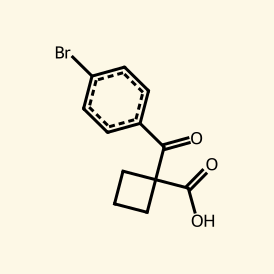 O=C(O)C1(C(=O)c2ccc(Br)cc2)CCC1